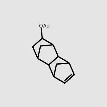 CC(=O)OC1CC2CC1C1C3C=CC(C3)C21